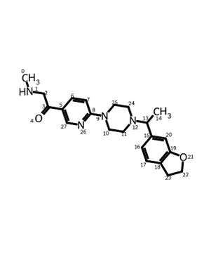 CNCC(=O)c1ccc(N2CCN(C(C)c3ccc4c(c3)OCC4)CC2)nc1